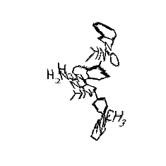 CCc1c(NC(=O)N2Cc3ccccc3C2)cccc1-c1nc(N)nc2[nH]c(-c3ccc(CN4C5CCC4CN(C)C5)cc3)cc12